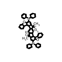 CC1(C)c2cc3c(cc2-c2c1cc(N(c1ccccc1)c1ccccc1)c1oc4ccccc4c21)C(C)(C)c1cc(N(c2ccccc2)c2ccccc2)c2oc4ccccc4c2c1-3